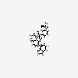 O=S(=O)(c1cccc(C(F)(F)F)c1)N1CCOc2ccc(-c3cccn4ccnc34)cc21